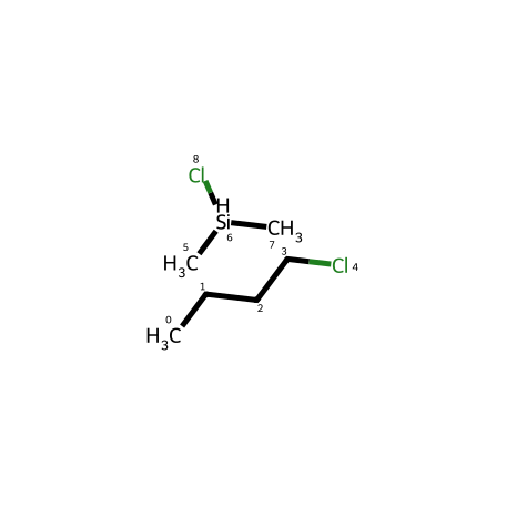 CCCCCl.C[SiH](C)Cl